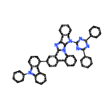 c1ccc(-c2nc(-c3ccccc3)nc(-n3c4ccccc4c4nc5c6cc(-c7cccc8c7c7ccccc7n8-c7ccccc7)ccc6c6ccccc6n5c43)n2)cc1